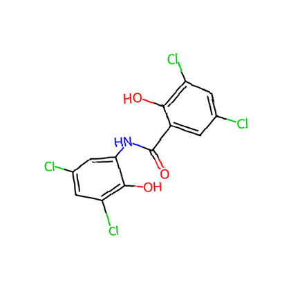 O=C(Nc1cc(Cl)cc(Cl)c1O)c1cc(Cl)cc(Cl)c1O